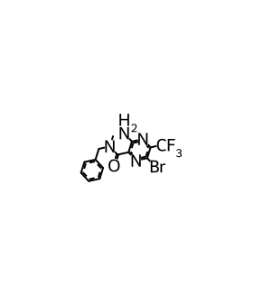 CN(Cc1ccccc1)C(=O)c1nc(Br)c(C(F)(F)F)nc1N